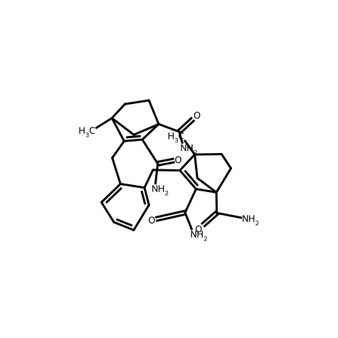 CC12CCC(C(N)=O)(C1)C(C(N)=O)=C2Cc1ccccc1CC1=C(C(N)=O)C2(C(N)=O)CCC1(C)C2